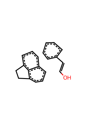 OC=Cc1ccccc1.c1cc2c3c(cccc3c1)CC2